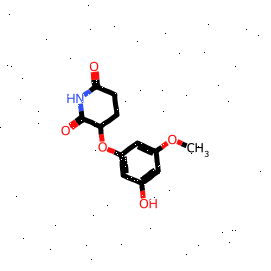 COc1cc(O)cc(OC2CCC(=O)NC2=O)c1